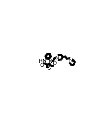 Cc1scc2c1N(C(=O)CN1CCC(CCCN3CCCCC3)CC1)c1ccccc1NC2=O